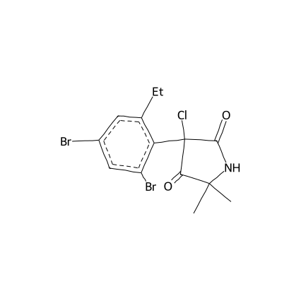 CCc1cc(Br)cc(Br)c1C1(Cl)C(=O)NC(C)(C)C1=O